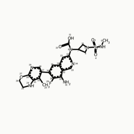 CNS(=O)(=O)N1CC(N(C(=O)O)c2cc3cc(-c4cnc5c(c4C)NCCO5)c(F)c(N)c3cn2)C1